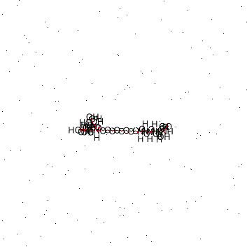 O=C(O)C[C@H](NC(=O)CN1C(=O)C=CC1=O)C(=O)NCC(=O)NCC(=O)NCC(=O)NCC(=O)NCCOCCOCCOCCOCCOCCOCCOCCOCCC(=O)N[C@@H](CCC(=O)NC[C@H](O)[C@@H](O)[C@H](O)[C@H](O)CO)C(=O)NC[C@H](O)[C@@H](O)[C@H](O)[C@H](O)CO